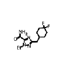 CCn1nc(CC2CCC(F)(F)CC2)nc1C(N)=O